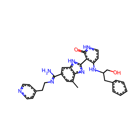 Cc1cc(C(N)=NCCc2ccncc2)cc2[nH]c(-c3c(NC(CO)Cc4ccccc4)cc[nH]c3=O)nc12